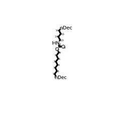 CCCCCCCCCCCCCCCCCCOC(=O)NCCCCCCCCCCCCCC